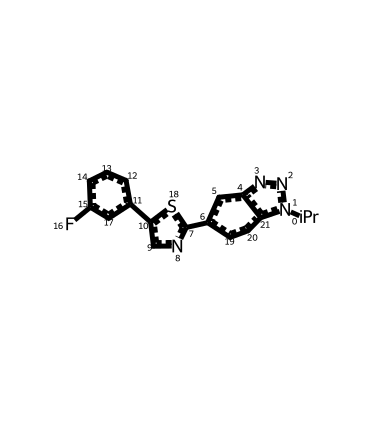 CC(C)n1nnc2cc(-c3ncc(-c4cccc(F)c4)s3)ccc21